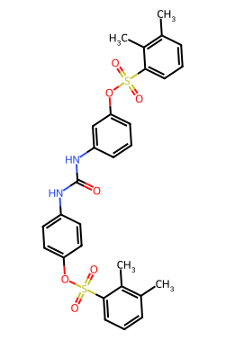 Cc1cccc(S(=O)(=O)Oc2ccc(NC(=O)Nc3cccc(OS(=O)(=O)c4cccc(C)c4C)c3)cc2)c1C